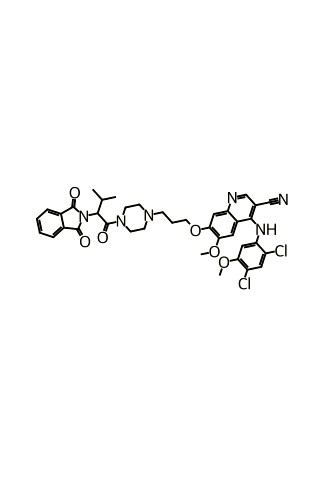 COc1cc(Nc2c(C#N)cnc3cc(OCCCN4CCN(C(=O)C(C(C)C)N5C(=O)c6ccccc6C5=O)CC4)c(OC)cc23)c(Cl)cc1Cl